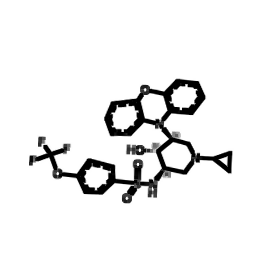 O=S(=O)(N[C@@H]1CN(C2CC2)C[C@H](N2c3ccccc3Oc3ccccc32)[C@H]1O)c1ccc(OC(F)(F)F)cc1